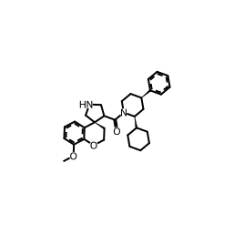 COc1cccc2c1OCC[C@]21CNCC1C(=O)N1CC[C@@H](c2ccccc2)C[C@H]1C1CCCCC1